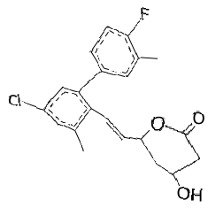 Cc1cc(-c2cc(Cl)cc(C)c2/C=C/C2CC(O)CC(=O)O2)ccc1F